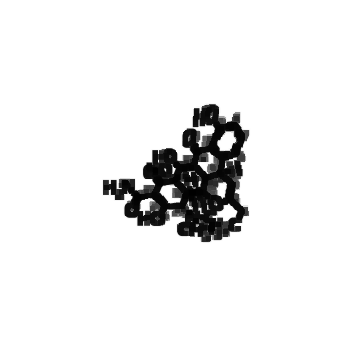 CCC1=C[C@H]2c3cccc(O)c3C(=O)C3=C(O)[C@]4(O)C(=O)C(C(N)=O)=C(O)[C@@H](N(C)C)[C@@H]4[C@@H](O1)[C@@H]32